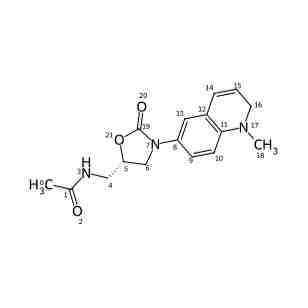 CC(=O)NC[C@H]1CN(c2ccc3c(c2)C=CCN3C)C(=O)O1